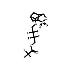 CC(F)(F)C(=O)OCC(F)(F)C(F)(F)COC1C2CC3C1OS(=O)(=O)C3C2